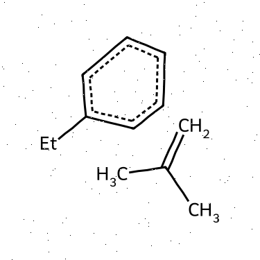 C=C(C)C.CCc1ccccc1